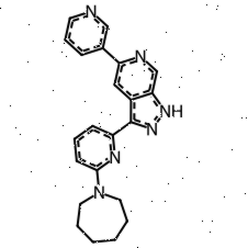 c1cncc(-c2cc3c(-c4cccc(N5CCCCCC5)n4)n[nH]c3cn2)c1